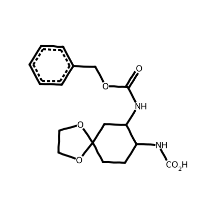 O=C(O)NC1CCC2(CC1NC(=O)OCc1ccccc1)OCCO2